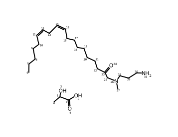 CC(O)C(=O)O.CCCCC/C=C\C/C=C\CCCCCCCC(=O)CN(C)CCCN